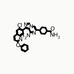 NC(=O)C1CCC(c2cn3cnc(-c4cc5nc(Oc6ccccc6)ccc5cc4Cl)c3c(N)n2)CC1